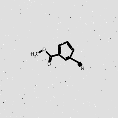 [CH2]OC(=O)c1cccc(C#N)c1